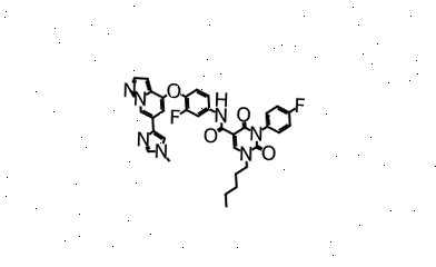 CCCCCn1cc(C(=O)Nc2ccc(Oc3cc(-c4cn(C)cn4)cn4nccc34)c(F)c2)c(=O)n(-c2ccc(F)cc2)c1=O